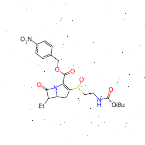 CCC1C(=O)N2C(C(=O)OCc3ccc([N+](=O)[O-])cc3)=C([S+]([O-])CCNC(=O)OCC(C)C)CC12